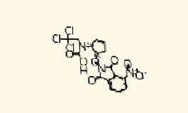 O=C1c2cccc([N+](=O)[O-])c2C(=O)N1O[C@@H]1CC=C[C@@H]1N(CC(Cl)(Cl)Cl)C(=O)O